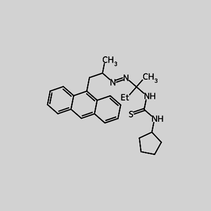 CCC(C)(N=NC(C)Cc1c2ccccc2cc2ccccc12)NC(=S)NC1CCCC1